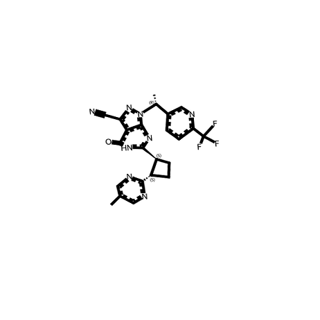 Cc1cnc([C@H]2CC[C@@H]2c2nc3c(c(C#N)nn3[C@H](C)c3ccc(C(F)(F)F)nc3)c(=O)[nH]2)nc1